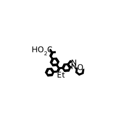 CC/C(=C(/c1ccc(/C=C(\C)C(=O)O)cc1)c1ccc2c(cnn2C2CCCCO2)c1)c1ccccc1